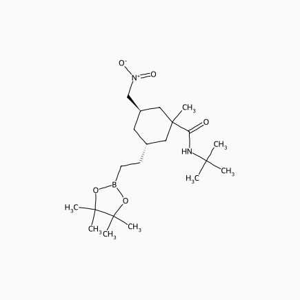 CC(C)(C)NC(=O)C1(C)C[C@H](CCB2OC(C)(C)C(C)(C)O2)C[C@@H](C[N+](=O)[O-])C1